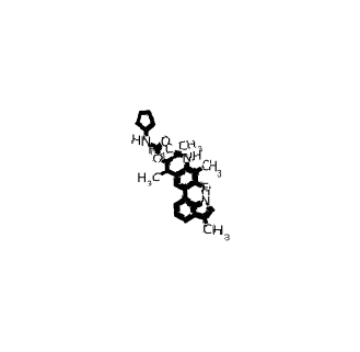 Cc1c(F)c(-c2cccc3c(C)c[nH]c23)cc2c1NC(C)(C)C(OC(=O)NC1CCCC1)C2C